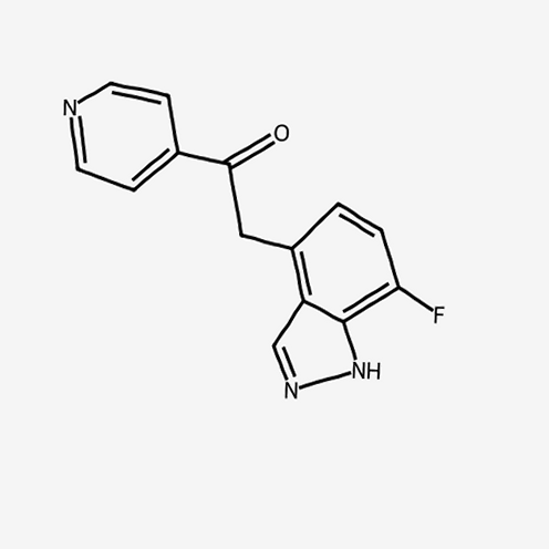 O=C(Cc1ccc(F)c2[nH]ncc12)c1ccncc1